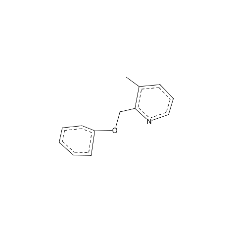 Cc1cccnc1COc1ccccc1